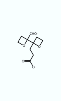 [O]C(=O)CCC1(C2([C]=O)CCO2)CCO1